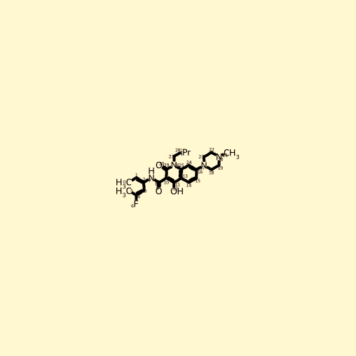 C/C=C(\C=C(/C)F)NC(=O)c1c(O)c2ccc(N3CCN(C)CC3)cc2n(CC(C)C)c1=O